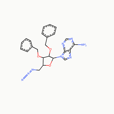 [N-]=[N+]=NCC1OC(n2cnc3c(N)ncnc32)C(OCc2ccccc2)C1OCc1ccccc1